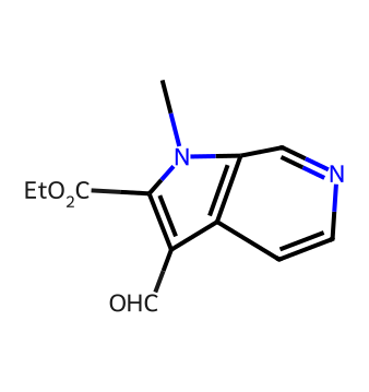 CCOC(=O)c1c(C=O)c2ccncc2n1C